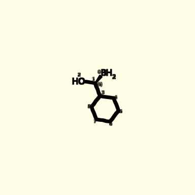 B[C@H](O)C1CCCCC1